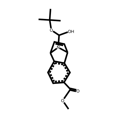 COC(=O)c1ccc2c(c1)C1C=CC2N1C(O)OC(C)(C)C